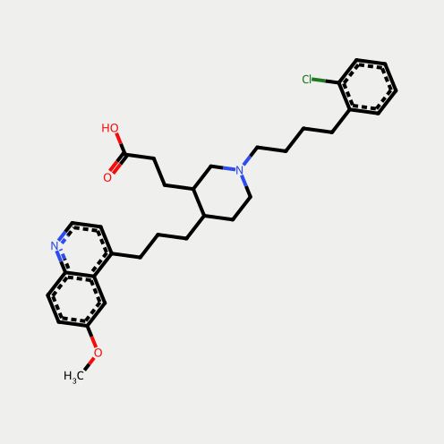 COc1ccc2nccc(CCCC3CCN(CCCCc4ccccc4Cl)CC3CCC(=O)O)c2c1